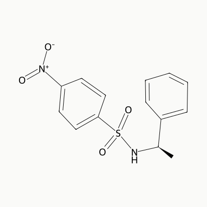 C[C@@H](NS(=O)(=O)c1ccc([N+](=O)[O-])cc1)c1ccccc1